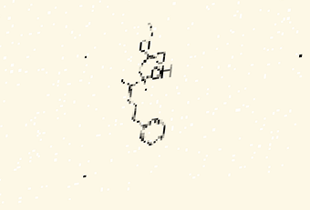 CCOC(=O)CC(C)(O)C(C)=CC=Cc1ccccc1